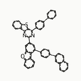 c1ccc(-c2ccc(-c3nc(-c4cc(-c5ccc(-c6ccc7ccccc7c6)cc5)c5c(c4)oc4ccccc45)nc4c3sc3ccccc34)cc2)cc1